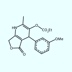 CCOC(=O)OC1=C(C)NC2=C(C(=O)OC2)C1c1cccc(OC)c1